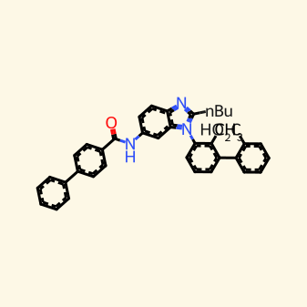 CCCCc1nc2ccc(NC(=O)c3ccc(-c4ccccc4)cc3)cc2n1-c1cccc(-c2ccccc2C(=O)O)c1C